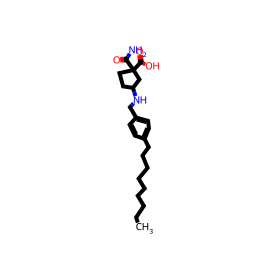 CCCCCCCCCc1ccc(CNC2CCC(C(N)=O)(C(=O)O)C2)cc1